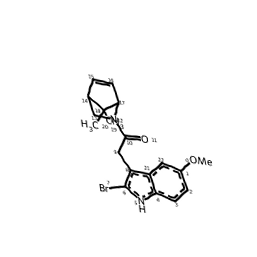 COc1ccc2[nH]c(Br)c(CC(=O)N3CC4C=CC3C4(C)C)c2c1